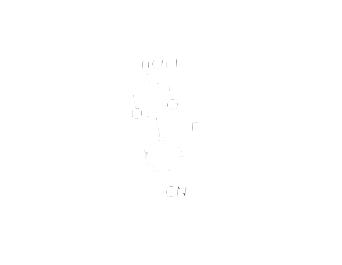 CCCCCCCCC1COC(c2ccc(C#N)cc2F)OC1